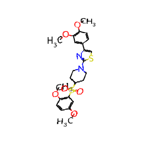 COc1ccc(OC)c(S(=O)(=O)C2CCN(c3nc(-c4ccc(OC)c(OC)c4)cs3)CC2)c1